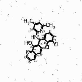 Cc1cc(C)nc(NC(c2cccc(Cl)c2Cl)c2ccc3cccnc3c2O)c1